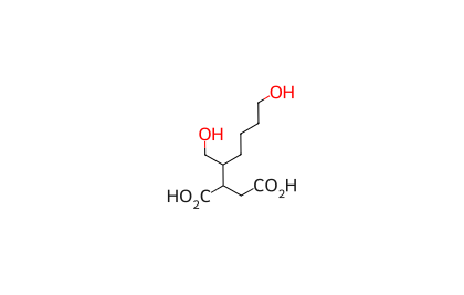 O=C(O)CC(C(=O)O)C(CO)CCCCO